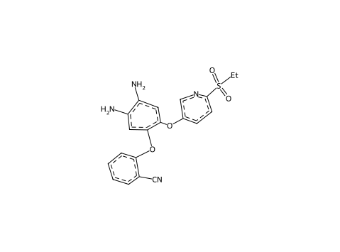 CCS(=O)(=O)c1ccc(Oc2cc(N)c(N)cc2Oc2ccccc2C#N)cn1